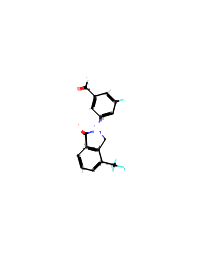 CC(=O)c1cc(F)cc(N2Cc3c(cccc3C(F)(F)F)C2=O)c1